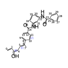 C=C/C(O)=C\C=C(/C)C(=C)/C=C\C(=C)C(=O)Nc1cccc(NC(=O)c2ccccc2)c1